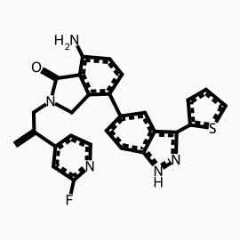 C=C(CN1Cc2c(-c3ccc4[nH]nc(-c5cccs5)c4c3)ccc(N)c2C1=O)c1ccnc(F)c1